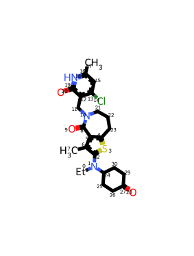 CCN(c1sc2c(c1C)C(=O)N(Cc1c(Cl)cc(C)[nH]c1=O)CCC2)C1CCC(=O)CC1